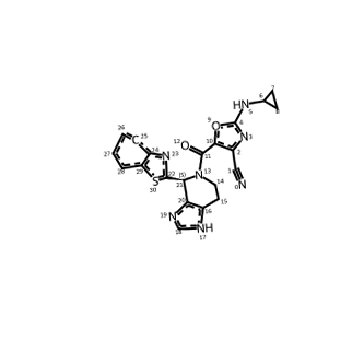 N#Cc1nc(NC2CC2)oc1C(=O)N1CCc2[nH]cnc2[C@H]1c1nc2ccccc2s1